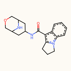 O=C(NC1CC2COCC(C1)N2)c1c2n(c3ccccc13)CCC2